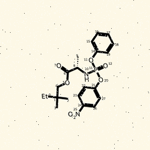 CCC(C)(C)COC(=O)[C@H](C)NP(=O)(Oc1ccccc1)Oc1ccc([N+](=O)[O-])cc1